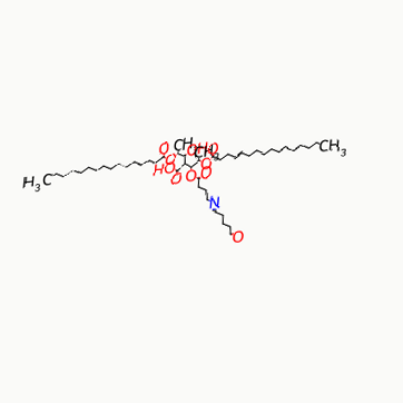 CCCCCCCCCCCCCCCC(=O)OC(C)C(O)C(C(=O)O)C(OC(=O)CCC/N=C/CCCC=O)C(C)OC(=O)CCCCCCCCCCCCCCC